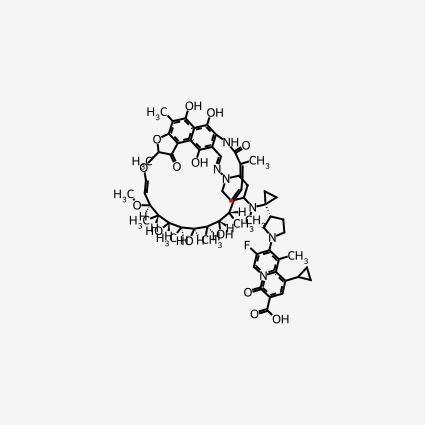 CO[C@H]1/C=C/O[C@@]2(C)Oc3c(C)c(O)c4c(O)c(c(/C=N/N5CCC(N(C)C6([C@@H]7CCN(c8c(F)cn9c(=O)c(C(=O)O)cc(C%10CC%10)c9c8C)C7)CC6)CC5)c(O)c4c3C2=O)NC(=O)/C(C)=C\C=C\[C@H](C)[C@H](O)[C@@H](C)[C@@H](O)[C@@H](C)[C@H](O)[C@@H]1C